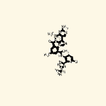 [2H]C([2H])([2H])n1nnc(-c2nc(Cl)ccc2NC(C)c2cc(C)cc3c(=O)n(C)c4c(-c5cnc(N)nc5OC)ncn4c23)n1